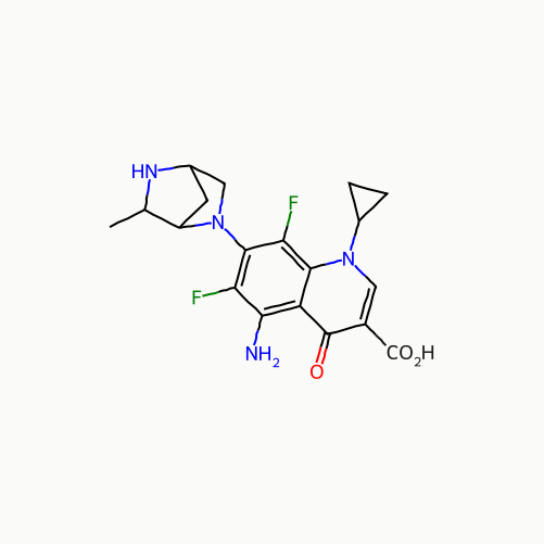 CC1NC2CC1N(c1c(F)c(N)c3c(=O)c(C(=O)O)cn(C4CC4)c3c1F)C2